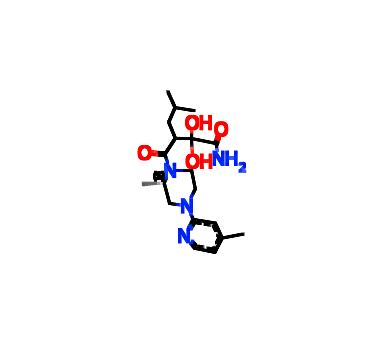 Cc1ccnc(N2CCN(C(=O)C(CC(C)C)C(O)(O)C(N)=O)[C@@H](C)C2)c1